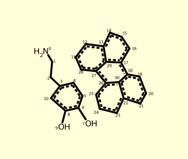 NCCc1ccc(O)c(O)c1.c1cc2cccc3c4cccc5cccc(c(c1)c23)c54